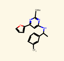 COc1nc(NC(C)c2cccc(C(F)(F)F)c2)cc(-c2ccco2)n1